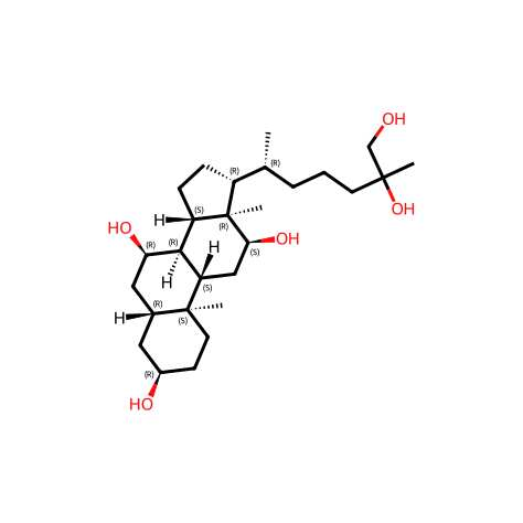 C[C@H](CCCC(C)(O)CO)[C@H]1CC[C@H]2[C@@H]3[C@H](O)C[C@H]4C[C@H](O)CC[C@]4(C)[C@H]3C[C@H](O)[C@]12C